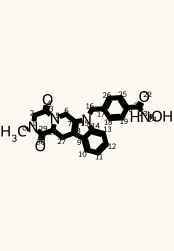 CN1CC(=O)N2Cc3c(c4ccccc4n3Cc3ccc(C(=O)NO)cc3)CC2C1=O